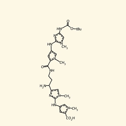 Cn1cc(Nc2nc(C(N)CCNC(=O)c3cc(Nc4nc(NC(=O)OC(C)(C)C)cn4C)cn3C)cn2C)cc1C(=O)O